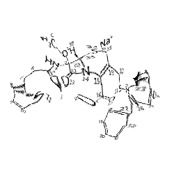 COC1(NC(=O)Cc2cccs2)C(=O)N2C(C(=O)[O-])=C(CSN3NN=CN3c3ccccc3)CS[C@H]21.[Na+]